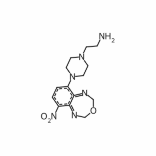 NCCN1CCN(c2ccc([N+](=O)[O-])c3c2=NCOCN=3)CC1